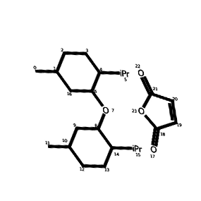 CC1CCC(C(C)C)C(OC2CC(C)CCC2C(C)C)C1.O=C1C=CC(=O)O1